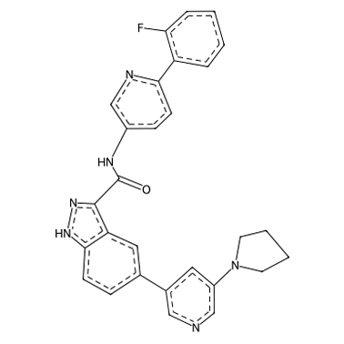 O=C(Nc1ccc(-c2ccccc2F)nc1)c1n[nH]c2ccc(-c3cncc(N4CCCC4)c3)cc12